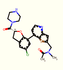 CC(=O)N(C)Cc1cc2nccc(-c3cc(Cl)cc4c3O[C@@H](C(=O)N3CCNCC3)C4)c2s1